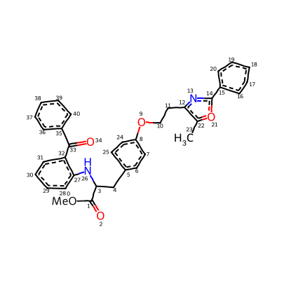 COC(=O)C(Cc1ccc(OCCc2nc(-c3ccccc3)oc2C)cc1)Nc1ccccc1C(=O)c1ccccc1